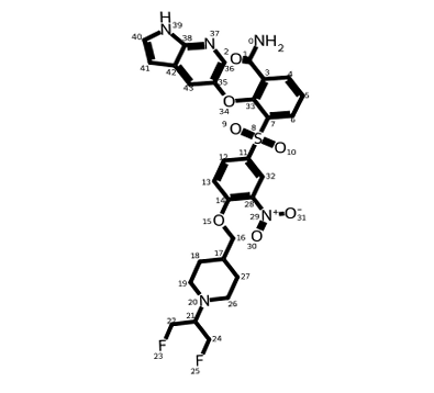 NC(=O)c1cccc(S(=O)(=O)c2ccc(OCC3CCN(C(CF)CF)CC3)c([N+](=O)[O-])c2)c1Oc1cnc2[nH]ccc2c1